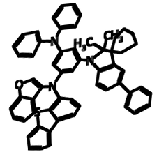 CC1(C)N(c2cc(N(c3ccccc3)c3ccccc3)cc(N(c3coc4ccccc34)c3cccc4c3sc3ccccc34)c2)c2ccc(-c3ccccc3)cc2C12CCCCC2